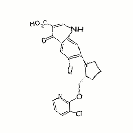 O=C(O)c1c[nH]c2cc(N3CCC[C@@H]3COc3ncccc3Cl)c(Cl)cc2c1=O